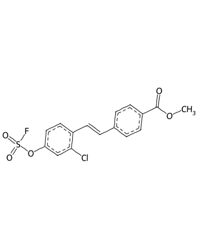 COC(=O)c1ccc(/C=C/c2ccc(OS(=O)(=O)F)cc2Cl)cc1